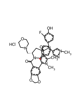 Cc1c(C(=O)N(c2ccc(O)c(F)c2)c2cnn(C)c2)cc(-c2cc3c(cc2C(=O)N2Cc4ccccc4C[C@H]2CN2CCOCC2)OCO3)n1C.Cl